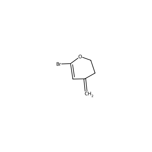 C=C1C=C(Br)OCC1